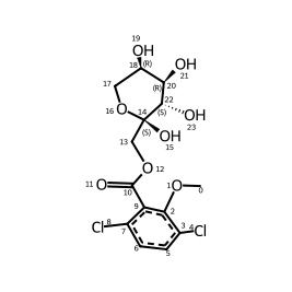 COc1c(Cl)ccc(Cl)c1C(=O)OC[C@]1(O)OC[C@@H](O)[C@@H](O)[C@@H]1O